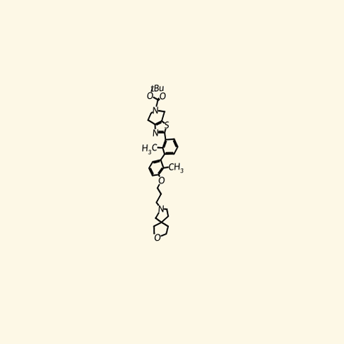 Cc1c(OCCCN2CCC3(CCOCC3)C2)cccc1-c1cccc(-c2nc3c(s2)CN(C(=O)OC(C)(C)C)CC3)c1C